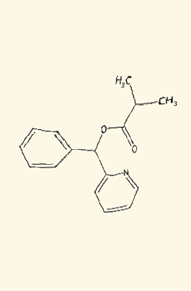 CC(C)C(=O)OC(c1ccccc1)c1ccccn1